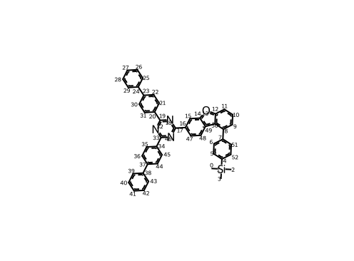 C[Si](C)(C)c1ccc(-c2cccc3oc4cc(-c5nc(-c6ccc(-c7ccccc7)cc6)nc(-c6ccc(-c7ccccc7)cc6)n5)ccc4c23)cc1